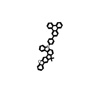 CC1(C)c2cc3c(cc2-c2c1ccc1c2c2ccccc2n1-c1ccc(-c2ccc4c5ccccc5c5ccccc5c4c2)cc1)oc1ccccc13